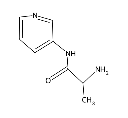 CC(N)C(=O)Nc1cccnc1